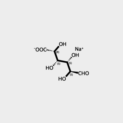 O=C[C@@H](O)[C@@H](O)[C@H](O)[C@@H](O)C(=O)[O-].[Na+]